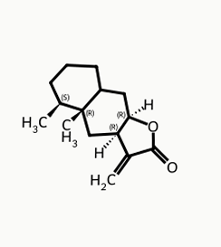 C=C1C(=O)O[C@@H]2CC3CCC[C@H](C)[C@@]3(C)C[C@H]12